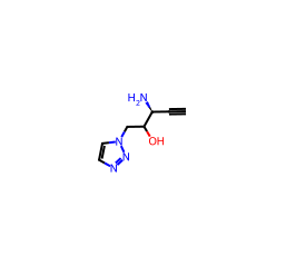 C#C[C@H](N)C(O)Cn1ccnn1